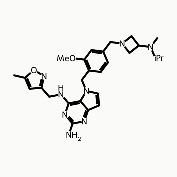 COc1cc(CN2CC(N(C)C(C)C)C2)ccc1Cn1ccc2nc(N)nc(NCc3cc(C)on3)c21